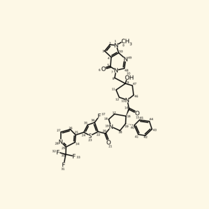 Cn1ccc2c(=O)n(CC3(O)CCN(C(=O)[C@@H]4CCN(C(=O)c5sc(-c6ccnc(C(F)(F)F)c6)cc5F)C[C@H]4c4ccccc4)CC3)cnc21